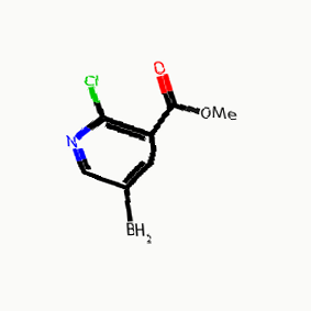 Bc1cnc(Cl)c(C(=O)OC)c1